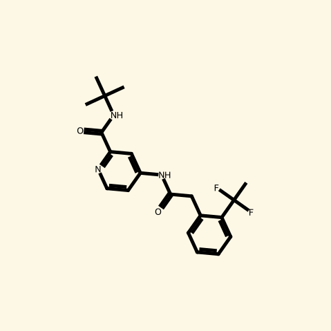 CC(C)(C)NC(=O)c1cc(NC(=O)Cc2ccccc2C(C)(F)F)ccn1